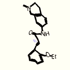 CCOc1ccccc1/C=C/C(=O)Nc1ccc2c(c1)CN(C)CC2